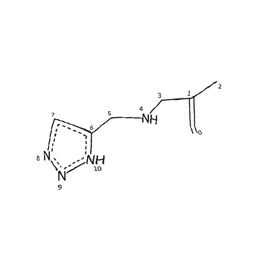 C=C(C)CNCc1cnn[nH]1